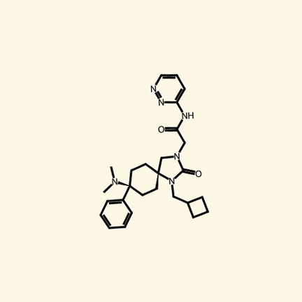 CN(C)[C@]1(c2ccccc2)CC[C@@]2(CC1)CN(CC(=O)Nc1cccnn1)C(=O)N2CC1CCC1